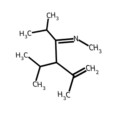 C=C(C)C(/C(=N\C)C(C)C)C(C)C